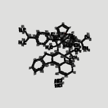 Cl.Cl.[CH2]=[Zr]([C]1=CC=CC1)([c]1ccc(C(C)C)cc1)([c]1ccc(C(C)C)cc1)[C]1(C)C2=C3Cc4ccccc4C3=C3C=CCCC3C2(C)C(C)(C)C(C)(C)C1(C)C